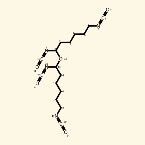 O=C=NCCCCCC(N=C=O)OC(CCCCCN=C=O)N=C=O